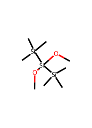 CO[Si](OC)([Si](C)(C)C)[Si](C)(C)C